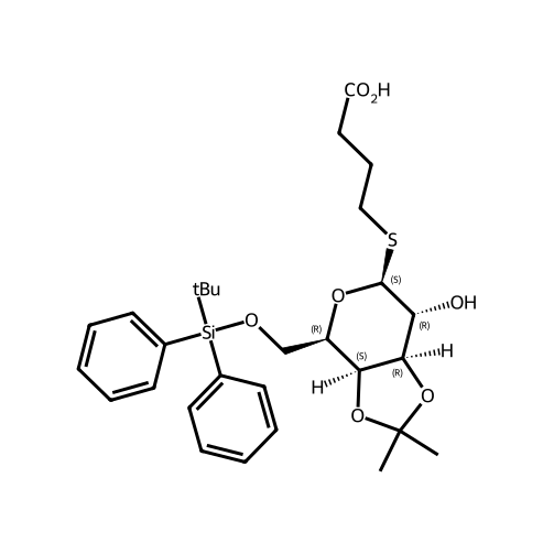 CC1(C)O[C@@H]2[C@@H](O)[C@H](SCCCC(=O)O)O[C@H](CO[Si](c3ccccc3)(c3ccccc3)C(C)(C)C)[C@@H]2O1